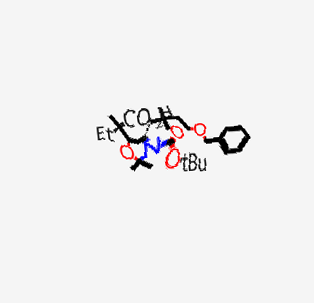 CC[C@@](C)(C(=O)O)[C@@H]1OC(C)(C)N(C(=O)OC(C)(C)C)[C@H]1CC(C)(C)CCOCc1ccccc1